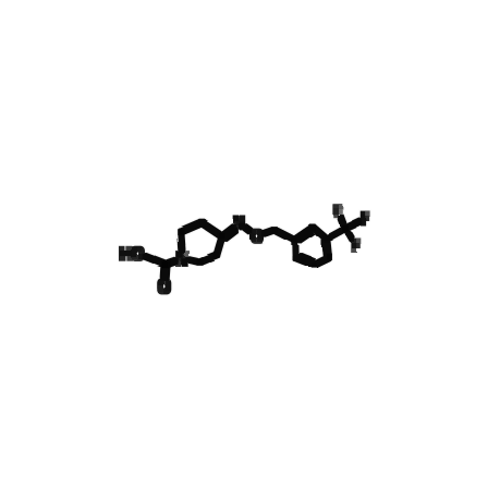 O=C(O)N1CCC(=NOCc2cccc(C(F)(F)F)c2)CC1